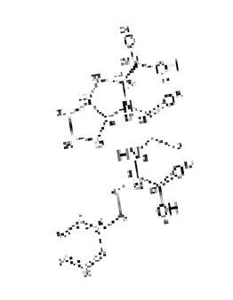 CC(N[C@@H](CCc1ccccc1)C(=O)O)C(=O)N1C2CCCC2C[C@H]1C(=O)O